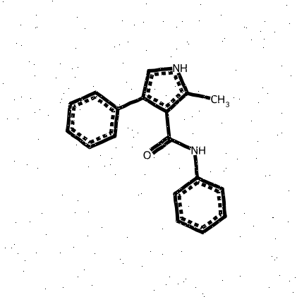 Cc1[nH]cc(-c2ccccc2)c1C(=O)Nc1ccccc1